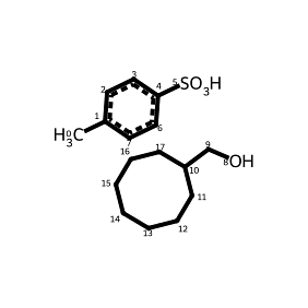 Cc1ccc(S(=O)(=O)O)cc1.OCC1CCCCCCC1